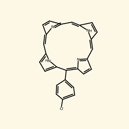 Clc1ccc(-c2c3nc(cc4ccc(cc5nc(cc6ccc2[nH]6)C=C5)[nH]4)C=C3)cc1